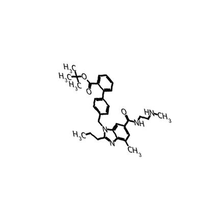 CCCc1nc2c(C)cc(C(=O)NCCNC)cc2n1Cc1ccc(-c2ccccc2C(=O)OC(C)(C)C)cc1